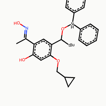 C/C(=N\O)c1cc(C(O[SiH](c2ccccc2)c2ccccc2)C(C)(C)C)c(OCC2CC2)cc1O